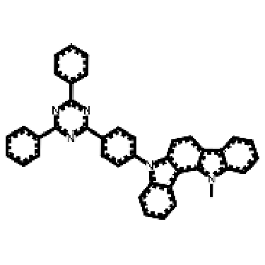 Cn1c2ccccc2c2ccc3c(c4ccccc4n3-c3ccc(-c4nc(-c5ccccc5)nc(-c5ccccc5)n4)cc3)c21